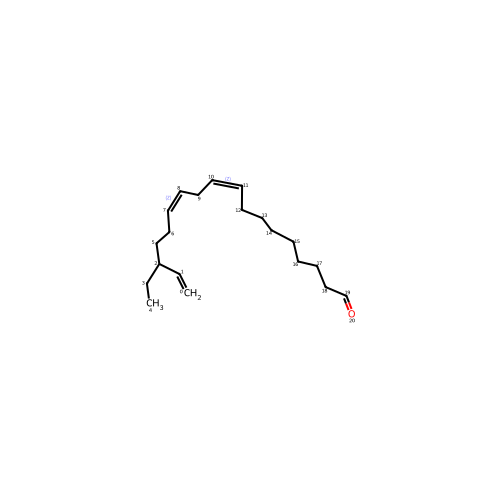 C=CC(CC)CC/C=C\C/C=C\CCCCCCCC=O